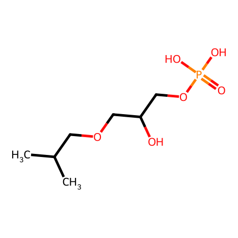 CC(C)COCC(O)COP(=O)(O)O